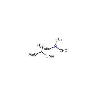 CCCCN(C=O)CCCC.COC(C)OC